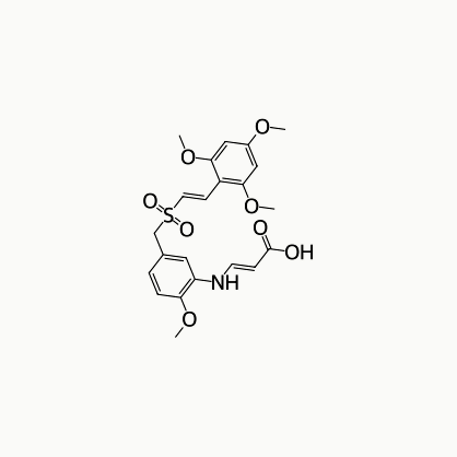 COc1cc(OC)c(/C=C/S(=O)(=O)Cc2ccc(OC)c(N/C=C/C(=O)O)c2)c(OC)c1